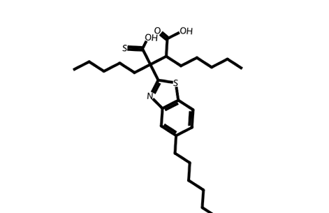 CCCCCCc1ccc2sc(C(CCCCC)(C(O)=S)C(CCCCC)C(=O)O)nc2c1